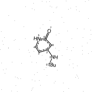 CC(C)(C)Nc1cc[nH]c(=O)c1